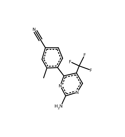 Cc1cc(C#N)ccc1-c1nc(N)ncc1C(F)(F)F